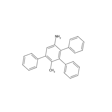 Cc1c(-c2ccccc2)cc(N)c(-c2ccccc2)c1-c1ccccc1